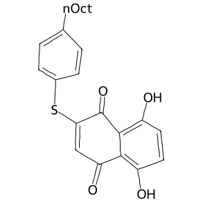 CCCCCCCCc1ccc(SC2=CC(=O)c3c(O)ccc(O)c3C2=O)cc1